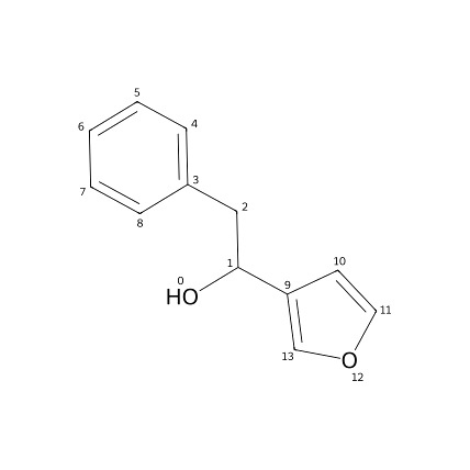 OC(Cc1ccccc1)c1ccoc1